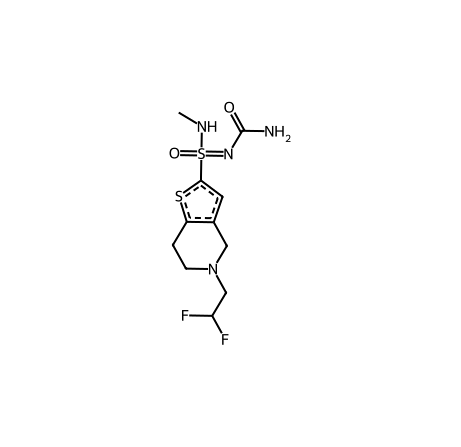 CNS(=O)(=NC(N)=O)c1cc2c(s1)CCN(CC(F)F)C2